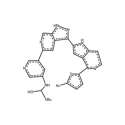 CCCCC(O)Nc1cncc(-c2cc3c(-c4cc5c(-c6ccc(C(C)=O)s6)nccc5[nH]4)n[nH]c3cn2)c1